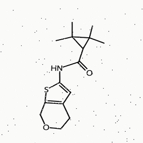 CC1(C)C(C(=O)Nc2cc3c(s2)COCC3)C1(C)C